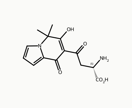 CC1(C)C(O)=C(C(=O)C[C@H](N)C(=O)O)C(=O)c2cccn21